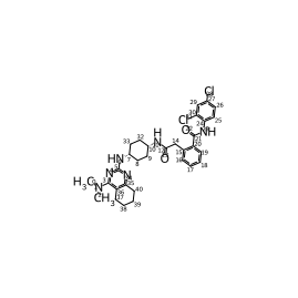 CN(C)c1nc(N[C@H]2CC[C@@H](NC(=O)Cc3ccccc3C(=O)Nc3ccc(Cl)cc3Cl)CC2)nc2c1CCCC2